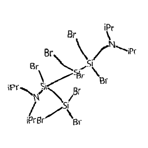 CC(C)N(C(C)C)[Si](Br)(Br)[Si](Br)(Br)[Si](Br)(N(C(C)C)C(C)C)[Si](Br)(Br)Br